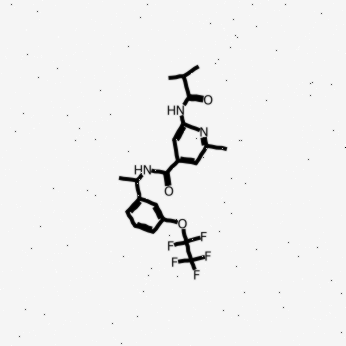 Cc1cc(C(=O)NC(C)c2cccc(OC(F)(F)C(F)(F)F)c2)cc(NC(=O)C(C)C)n1